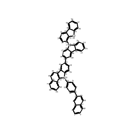 c1ccc2cc(-c3ccc(-n4c5ccc(-c6ccc7c(c6)c6ccccc6n7-c6cccc7c6oc6ccccc67)cc5c5ccc6ccccc6c54)cc3)ccc2c1